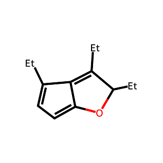 CC[C]1OC2=CC=C(CC)C2=C1CC